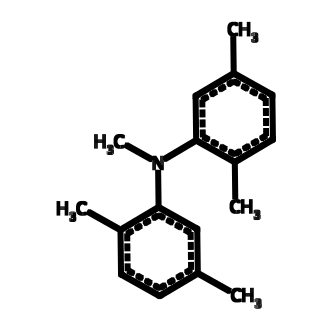 Cc1ccc(C)c(N(C)c2cc(C)ccc2C)c1